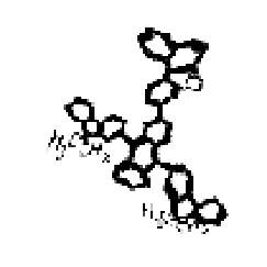 CC1(C)c2ccccc2-c2ccc(-c3c4ccccc4c(-c4ccc5c(c4)C(C)(C)C4C=CC=CC54)c4cc(-c5ccc6c(c5)oc5ccc7ccccc7c56)ccc34)cc21